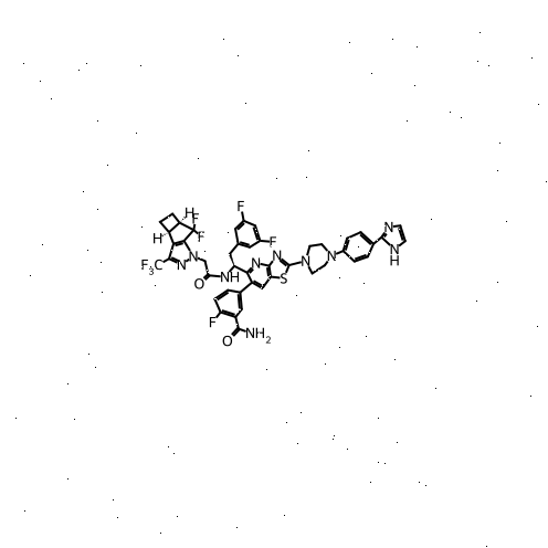 NC(=O)c1cc(-c2cc3sc(N4CCN(c5ccc(-c6ncc[nH]6)cc5)CC4)nc3nc2[C@H](Cc2cc(F)cc(F)c2)NC(=O)Cn2nc(C(F)(F)F)c3c2C(F)(F)[C@@H]2CC[C@H]32)ccc1F